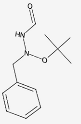 CC(C)(C)ON(Cc1ccccc1)NC=O